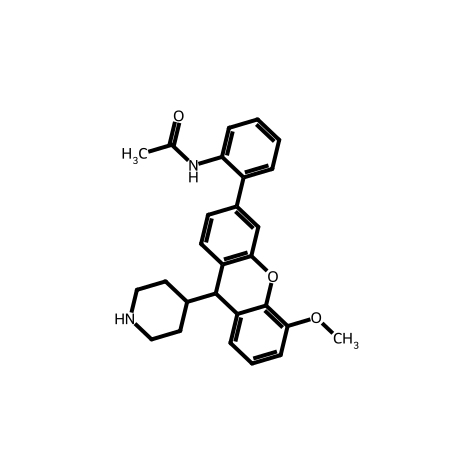 COc1cccc2c1Oc1cc(-c3ccccc3NC(C)=O)ccc1C2C1CCNCC1